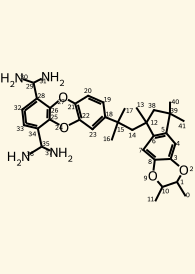 CC1Oc2cc3c(cc2OC1C)C(C)(CC(C)(C)c1ccc2c(c1)OC1=C(O2)C(C(N)N)=C=C=C1C(N)N)CC3(C)C